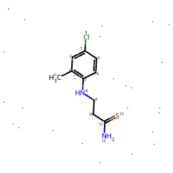 Cc1cc(Cl)ccc1NCCC(N)=S